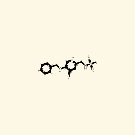 CS(=O)(=O)NCc1cc(=O)c(OCc2ccccc2)co1